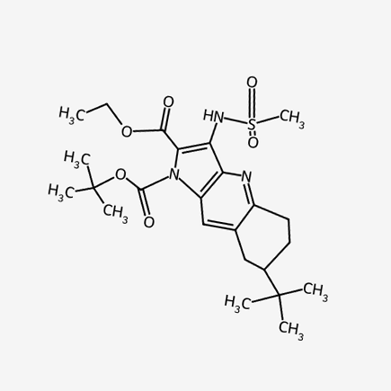 CCOC(=O)c1c(NS(C)(=O)=O)c2nc3c(cc2n1C(=O)OC(C)(C)C)CC(C(C)(C)C)CC3